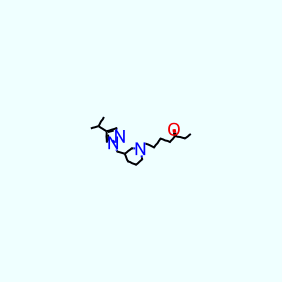 CCC(=O)CCCCN1CCCC(Cn2cc(C(C)C)cn2)C1